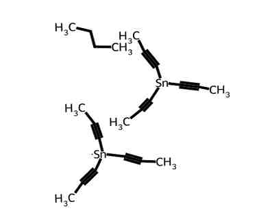 CC#[C][Sn]([C]#CC)[C]#CC.CC#[C][Sn]([C]#CC)[C]#CC.CCCC